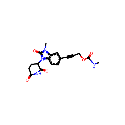 CNC(=O)OCC#Cc1ccc2c(c1)n(C)c(=O)n2C1CCC(=O)NC1=O